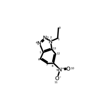 CCn1nnc2ccc([N+](=O)[O-])cc21